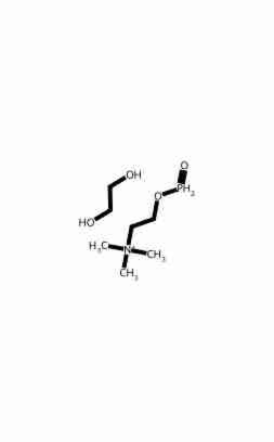 C[N+](C)(C)CCO[PH2]=O.OCCO